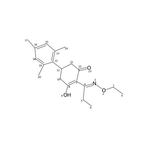 CCON=C(CC)C1=C(O)CC(c2c(C)cc(C)cc2C)CC1=O